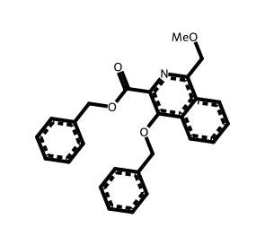 COCc1nc(C(=O)OCc2ccccc2)c(OCc2ccccc2)c2ccccc12